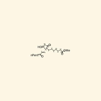 CCCCCC(=O)C=C[C@H]1[C@H](CCCCCCC(=O)OC)C(=O)C[C@@H]1O